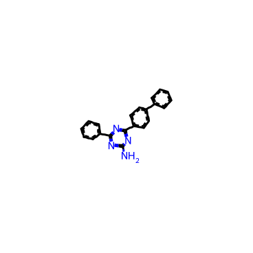 Nc1nc(-c2ccccc2)nc(-c2ccc(-c3ccccc3)cc2)n1